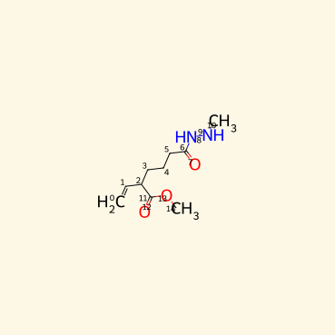 C=CC(CCCC(=O)NNC)C(=O)OC